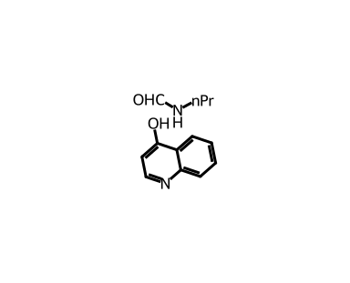 CCCNC=O.Oc1ccnc2ccccc12